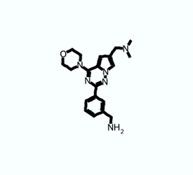 CN(C)Cc1cc2c(N3CCOCC3)nc(-c3cccc(CN)c3)nn2c1